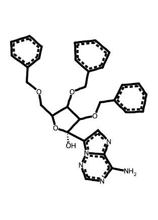 Nc1ncnn2c([C@@]3(O)OC(COCc4ccccc4)C(OCc4ccccc4)C3OCc3ccccc3)cnc12